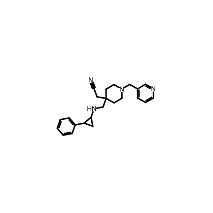 N#CCC1(CNC2CC2c2ccccc2)CCN(Cc2cccnc2)CC1